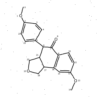 COc1ccc(C2C(=O)c3ccc(OC)cc3C3COCC32)cc1